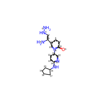 NN/C=C(\N)c1ccc(=O)n(-c2ccc(NC3CCCC3)nc2)c1